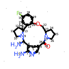 Nc1ncc2cc1C(N)N1CCC[C@@H]1c1cc(F)ccc1OCC1CCCN1C2=O